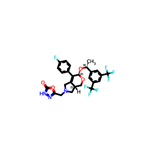 C[C@@H](O[C@H]1OC[C@@H]2CN(Cc3n[nH]c(=O)o3)CC2=C1c1ccc(F)cc1)c1cc(C(F)(F)F)cc(C(F)(F)F)c1